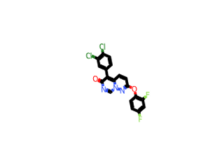 O=c1ncn2nc(Oc3ccc(F)cc3F)ccc2c1-c1ccc(Cl)c(Cl)c1